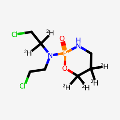 [2H]C([2H])(CCl)N(CCCl)P1(=O)NCC([2H])([2H])C([2H])([2H])O1